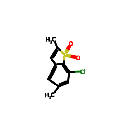 CC1=Cc2cc(C)cc(Cl)c2S1(=O)=O